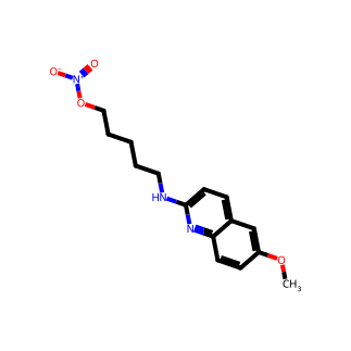 COc1ccc2nc(NCCCCCO[N+](=O)[O-])ccc2c1